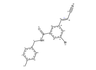 Cc1ccc(CNC(=O)c2cc(Br)cc(/C=C/C#N)c2)cc1